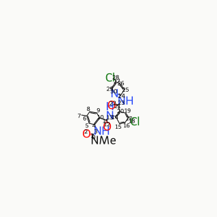 CNC(=O)Nc1cc(C)ccc1C(=O)Nc1ccc(Cl)cc1C(=O)Nc1ccc(Cl)cn1